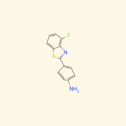 Nc1ccc(-c2nc3c(F)cccc3s2)cc1